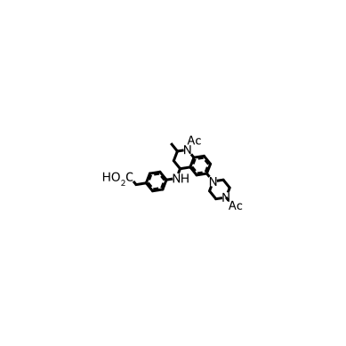 CC(=O)N1CCN(c2ccc3c(c2)C(Nc2ccc(CC(=O)O)cc2)CC(C)N3C(C)=O)CC1